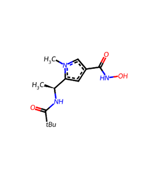 C[C@H](NC(=O)C(C)(C)C)c1cc(C(=O)NO)cn1C